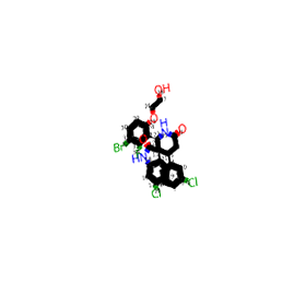 O=C1C[C@@H](c2cccc(Cl)c2)[C@]2(C(=O)Nc3cc(Cl)ccc32)[C@H](c2c(OCCO)ccc(Br)c2F)N1